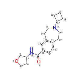 O=C(NC1CCOC1)c1ccc2c(c1)CCN(C1CCC1)CC2